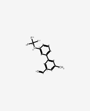 Cc1cc(C=O)cc(-c2cccc(OC(F)(F)F)c2)c1